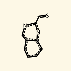 S=[C]c1ncc2ccccc2n1